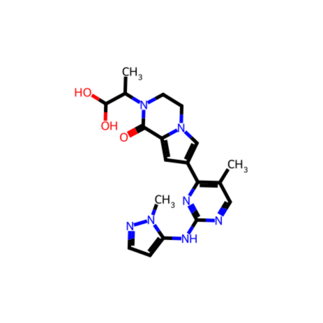 Cc1cnc(Nc2ccnn2C)nc1-c1cc2n(c1)CCN(C(C)C(O)O)C2=O